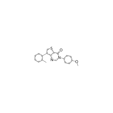 COc1ccc(-n2cnc3c(-c4ccccc4C)csc3c2=O)cc1